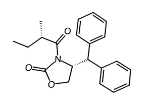 CC[C@H](C)C(=O)N1C(=O)OC[C@H]1C(c1ccccc1)c1ccccc1